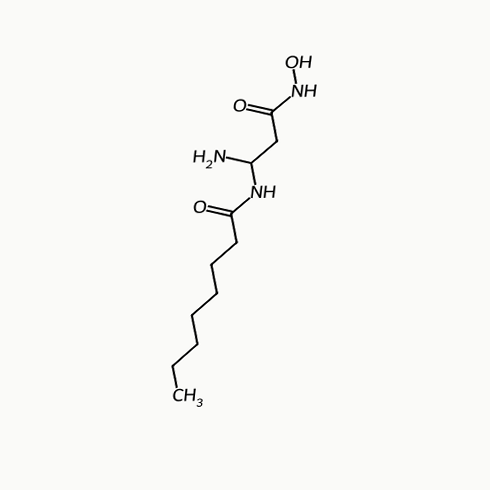 CCCCCCCC(=O)NC(N)CC(=O)NO